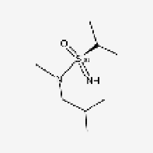 CC(C)CN(C)[S@@](=N)(=O)C(C)C